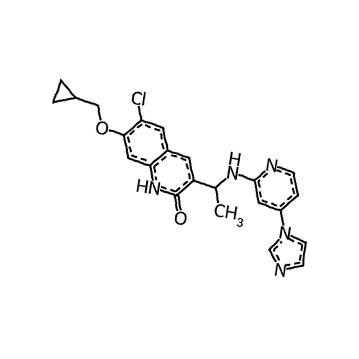 CC(Nc1cc(-n2ccnc2)ccn1)c1cc2cc(Cl)c(OCC3CC3)cc2[nH]c1=O